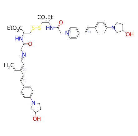 C=CC(/C=C/c1ccc(N2CCC(O)C2)cc1)=C\C=N\CC(=O)NC(CSSCC(NC(=O)C[n+]1ccc(/C=C/c2ccc(N3CCC(O)C3)cc2)cc1)C(=O)OCC)C(=O)OCC